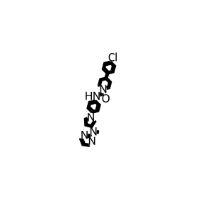 CN(c1ncccn1)[C@@H]1CCN(c2ccc(NC(=O)N3CCC(c4ccc(Cl)cc4)CC3)cc2)C1